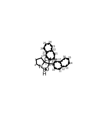 C[C@@]12CCCN1BOC2(c1ccc2ccccc2c1)c1ccc2ccccc2c1